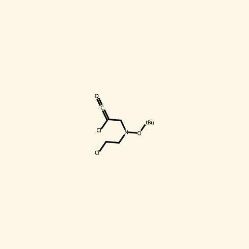 CC(C)(C)ON(CCCl)CC(Cl)=C=O